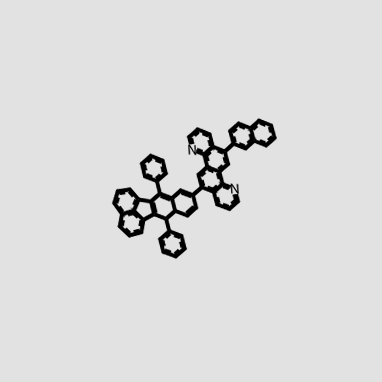 C1=CC2C(=C(c3ccccc3)C3=C(c4cccc5cccc3c45)C2c2ccccc2)C=C1c1cc2c(cc(-c3ccc4ccccc4c3)c3cccnc32)c2ncccc12